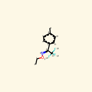 CCO/N=C(/c1ccc(C)cc1)C(F)(F)F